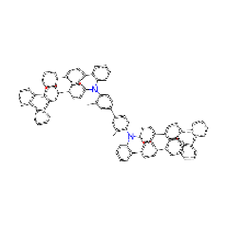 Cc1cc(-c2ccc(N(c3ccc(-c4ccc5c6ccccc6c6ccccc6c5c4)cc3)c3ccccc3-c3ccc(-c4ccccc4)cc3)c(C)c2)ccc1N(c1ccc(-c2ccc3c4ccccc4c4ccccc4c3c2)cc1)c1ccccc1-c1ccc(-c2ccccc2)cc1